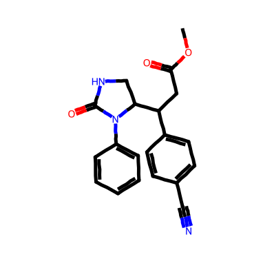 COC(=O)CC(c1ccc(C#N)cc1)C1CNC(=O)N1c1ccccc1